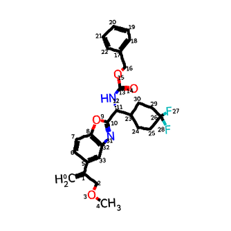 C=C(COC)c1ccc2oc([C@H](NC(=O)OCc3ccccc3)C3CCC(F)(F)CC3)nc2c1